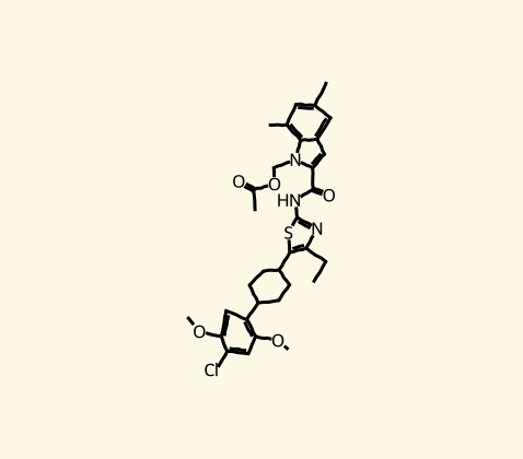 CCc1nc(NC(=O)c2cc3cc(C)cc(C)c3n2COC(C)=O)sc1C1CCC(c2cc(OC)c(Cl)cc2OC)CC1